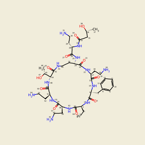 CC(C)C[C@@H]1NC(=O)[C@@H](Cc2ccccc2)NC(=O)[C@H](CCN)NC(=O)[C@@H](NC(=O)[C@H](CCN)NC(=O)C[C@@H](C)O)CCNC(=O)[C@@H]([C@@H](C)O)NC(=O)[C@H](CCN)NC(=O)[C@H](CCN)NC1=O